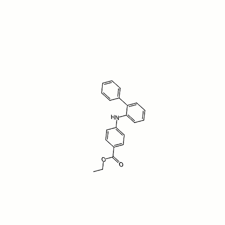 CCOC(=O)c1ccc(Nc2ccccc2-c2ccccc2)cc1